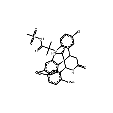 COc1ccc(Cl)cc1[C@@H]1NC(=O)C[C@H](c2cc(Cl)ccc2OC(C)(C)C(=O)NS(C)(=O)=O)[C@@]12C(=O)Nc1cc(Cl)ccc12